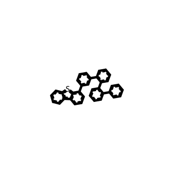 c1ccc(-c2ccccc2-c2ccccc2-c2cccc(-c3cccc4c3sc3ccccc34)c2)cc1